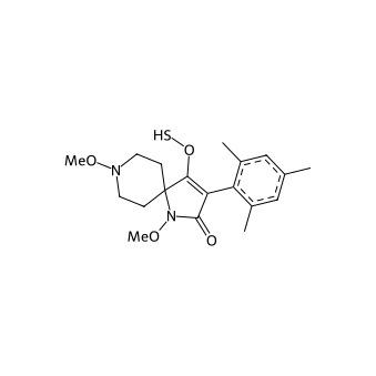 CON1CCC2(CC1)C(OS)=C(c1c(C)cc(C)cc1C)C(=O)N2OC